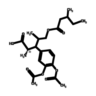 CCC(C)CC(=O)OCC(C)C(c1ccc(OC(C)=O)c(OC(C)=O)c1)[C@H](N)C(=O)O